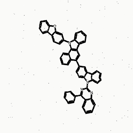 c1ccc(-c2nc(-n3c4ccccc4c4cc(-c5cc6c7ccccc7n(-c7ccc8c(c7)oc7ccccc78)c6c6ccccc56)ccc43)nc3ccccc23)cc1